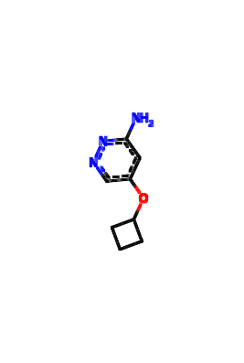 Nc1cc(OC2CCC2)cnn1